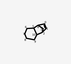 C1=CC2CC1C1CCCCC21